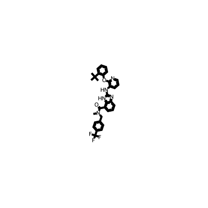 CN(Cc1ccc(C(F)(F)F)cc1)C(=O)c1cccc2nc(Nc3cccnc3Oc3ccccc3C(C)(C)C)[nH]c12